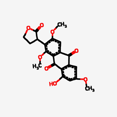 COc1cc(O)c2c(c1)C(=O)c1cc(OC)c(C3CCOC3=O)c(OC)c1C2=O